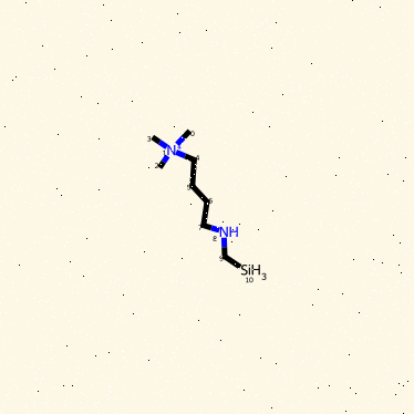 C[N+](C)(C)CCCCNC[SiH3]